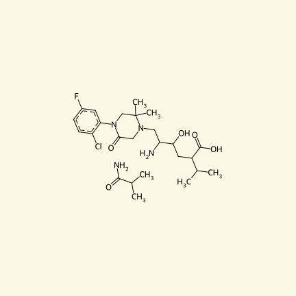 CC(C)C(CC(O)C(N)CN1CC(=O)N(c2cc(F)ccc2Cl)CC1(C)C)C(=O)O.CC(C)C(N)=O